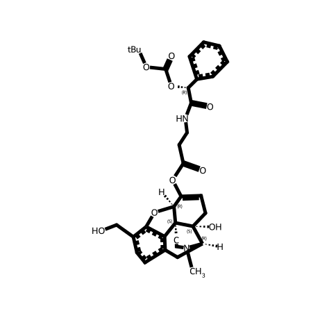 CN1CC[C@]23c4c5ccc(CO)c4O[C@H]2C(OC(=O)CCNC(=O)[C@H](OC(=O)OC(C)(C)C)c2ccccc2)=CC[C@@]3(O)[C@H]1C5